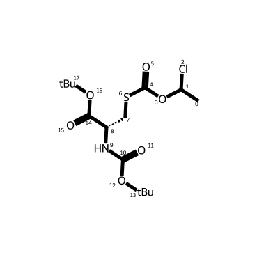 CC(Cl)OC(=O)SC[C@H](NC(=O)OC(C)(C)C)C(=O)OC(C)(C)C